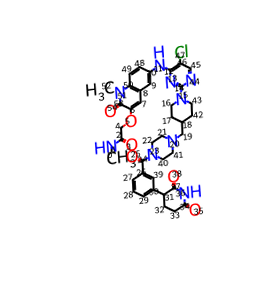 CNC(=O)COc1cc2cc(Nc3nc(N4CCC(CN5CCN(C(=O)c6cccc(C7CCC(=O)NC7=O)c6)CC5)CC4)ncc3Cl)ccc2n(C)c1=O